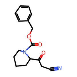 N#CCC(=O)C1CCCCN1C(=O)OCc1ccccc1